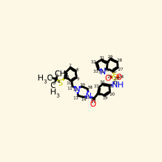 CC(C)(C)Sc1ccccc1CN1CCN(C(=O)c2ccc(NS(=O)(=O)c3cccc4cccnc34)cc2)CC1